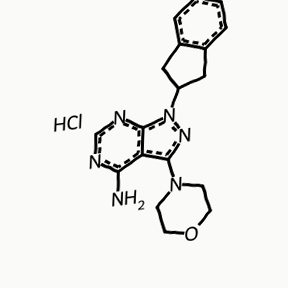 Cl.Nc1ncnc2c1c(N1CCOCC1)nn2C1Cc2ccccc2C1